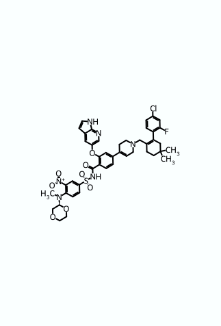 CN(c1ccc(S(=O)(=O)NC(=O)c2ccc(C3=CCN(CC4=C(c5ccc(Cl)cc5F)CC(C)(C)CC4)CC3)cc2Oc2cnc3[nH]ccc3c2)cc1[N+](=O)[O-])[C@@H]1COCCO1